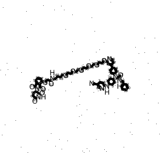 N#Cc1ccc(NC2CCC(N(C(=O)NCc3ccccc3)c3ccc(-c4ccnc(OCCOCCOCCOCCOCCOCCCCNC(=O)COc5cccc6c5C(=O)N(C5CCC(=O)NC5=O)C6=O)c4)cc3)CC2)nc1